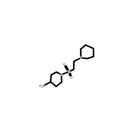 NC1CCN(S(=O)(=O)CCN2CCCCC2)CC1